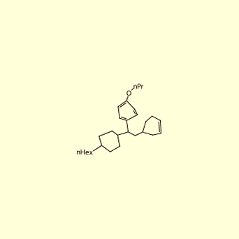 CCCCCCC1CCC(C(CC2CC=CCC2)c2ccc(OCCC)cc2)CC1